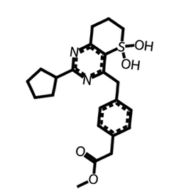 COC(=O)Cc1ccc(Cc2nc(C3CCCC3)nc3c2S(O)(O)CCC3)cc1